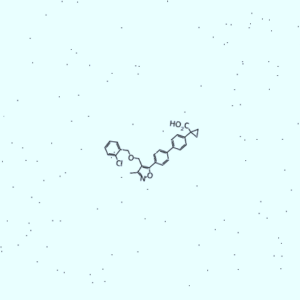 Cc1noc(-c2ccc(-c3ccc(C4(C(=O)O)CC4)cc3)cc2)c1COCc1ccccc1Cl